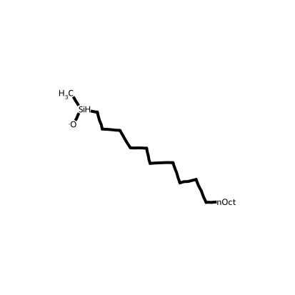 CCCCCCCCCCCCCCCCCC[SiH](C)[O]